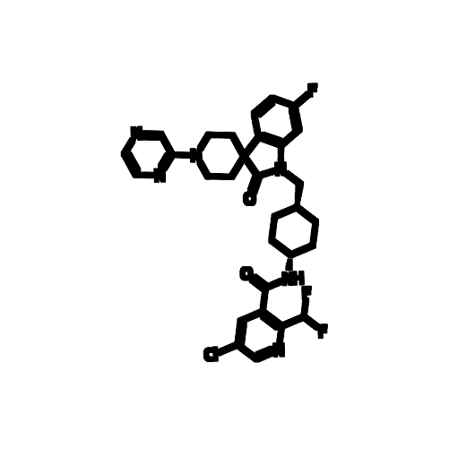 O=C(N[C@H]1CC[C@H](CN2C(=O)C3(CCN(c4cnccn4)CC3)c3ccc(F)cc32)CC1)c1cc(Cl)cnc1C(F)F